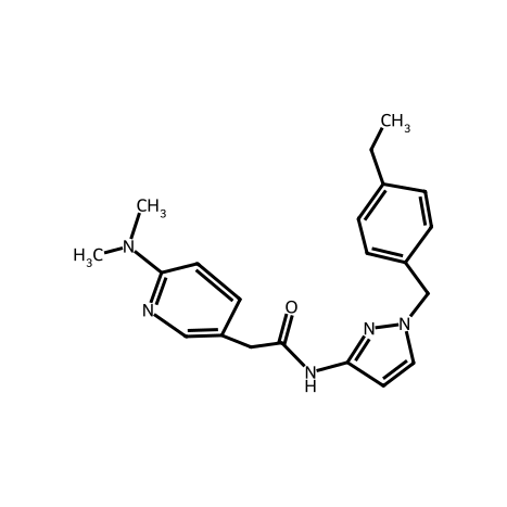 CCc1ccc(Cn2ccc(NC(=O)Cc3ccc(N(C)C)nc3)n2)cc1